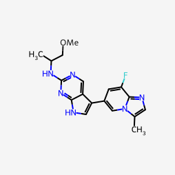 COCC(C)Nc1ncc2c(-c3cc(F)c4ncc(C)n4c3)c[nH]c2n1